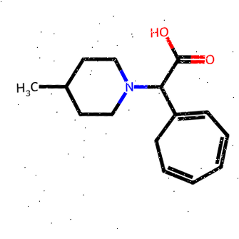 CC1CCN(C(C(=O)O)C2=CC=CC=CC2)CC1